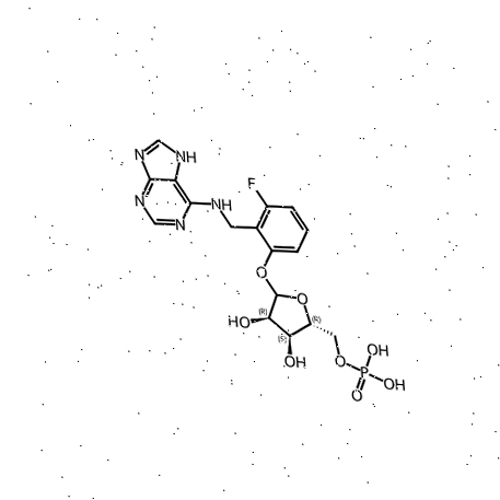 O=P(O)(O)OC[C@H]1OC(Oc2cccc(F)c2CNc2ncnc3nc[nH]c23)[C@H](O)[C@@H]1O